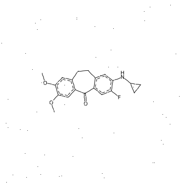 COc1cc2c(cc1OC)C(=O)c1cc(F)c(NC3CC3)cc1CC2